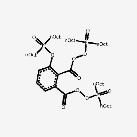 CCCCCCCCP(=O)(CCCCCCCC)OOC(=O)c1cccc(OP(=O)(CCCCCCCC)CCCCCCCC)c1C(=O)OOP(=O)(CCCCCCCC)CCCCCCCC